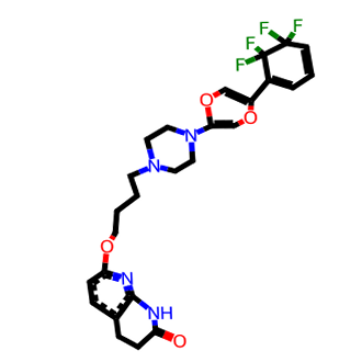 O=C1CCc2ccc(OCCCCN3CCN(C4=COC(C5=CC=CC(F)(F)C5(F)F)=CO4)CC3)nc2N1